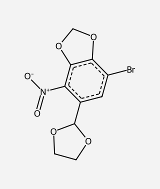 O=[N+]([O-])c1c(C2OCCO2)cc(Br)c2c1OCO2